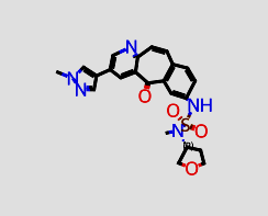 CN([C@@H]1CCOC1)S(=O)(=O)Nc1ccc2ccc3ncc(-c4cnn(C)c4)cc3c(=O)c2c1